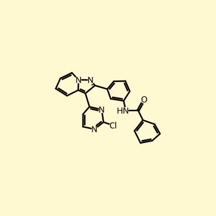 O=C(Nc1cccc(-c2nn3ccccc3c2-c2ccnc(Cl)n2)c1)c1ccccc1